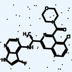 C[C@H](Nc1ncnc2[nH]cc(F)c12)c1cc2cccc(Cl)c2c(C(=O)N2CCOCC2)n1